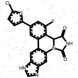 O=C1NC(=O)N2c3cc4nc[nH]c4cc3-c3cc(-c4ccc(Cl)s4)cc(F)c3C12